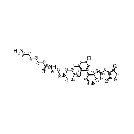 Cc1cc(Cl)cc(-c2ccnc3cc(CN4C(=O)CCC4=O)sc23)c1OC1CCN(CCCNC(=O)CCCCCCN)CC1